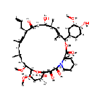 C=CC[C@@H]1/C=C(\C)C[C@H](C)C[C@H](OC)[C@H]2O[C@@](O)(C(=O)C(=O)N3CCCC[C@H]3C(=O)O[C@H]([C@@H]3CC[C@@H](O)[C@@H](OC)C3)/C(C)=C/[C@H](C)[C@@H](O)CC1=O)[C@H](C)C[C@H]2OC